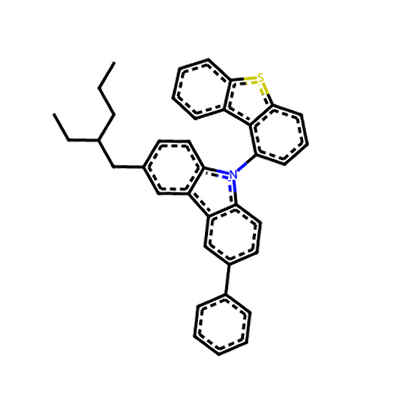 CCCC(CC)Cc1ccc2c(c1)c1cc(-c3ccccc3)ccc1n2-c1cccc2sc3ccccc3c12